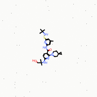 Cc1cc(NC(=O)c2ccc(NC(C)(C)CO)nc2N2CCC3(CC2)CC3)nc(SNC(C)(C)C)c1